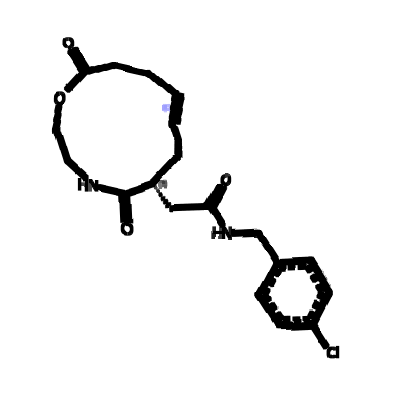 O=C(C[C@H]1C/C=C/CCC(=O)OCCNC1=O)NCc1ccc(Cl)cc1